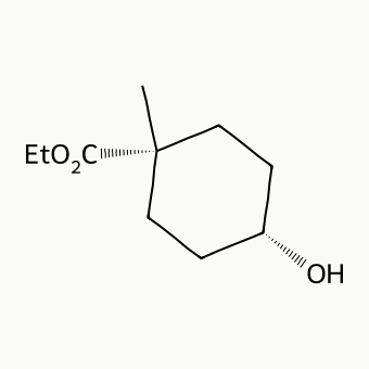 CCOC(=O)[C@]1(C)CC[C@H](O)CC1